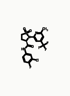 Cc1cc(C(F)(F)F)cc(N2[C@@H](C(=O)Nc3ccc(F)c(Cl)c3)CCS2(=O)=O)n1